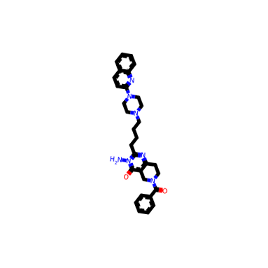 Nn1c(CCCCN2CCN(c3ccc4ccccc4n3)CC2)nc2c(c1=O)CN(C(=O)c1ccccc1)CC2